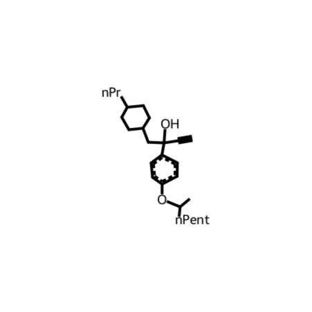 C#CC(O)(CC1CCC(CCC)CC1)c1ccc(OC(C)CCCCC)cc1